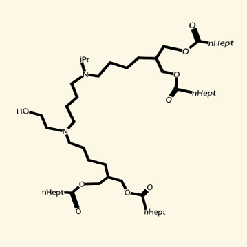 CCCCCCCC(=O)OCC(CCCCN(CCO)CCCCN(CCCCC(COC(=O)CCCCCCC)COC(=O)CCCCCCC)C(C)C)COC(=O)CCCCCCC